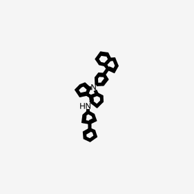 C1=CC2CCC=C(C3=CCC(N4C5=CCCC=C5C5=C(NC6C=CC(C7=CCCCC7)=CC6)CCCC54)C=C3)C2CC1